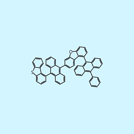 c1ccc(-c2c3ccccc3c(-c3cccc4oc5cc(-c6c7ccccc7c(-c7cccc8sc9ccccc9c78)c7ccccc67)ccc5c34)c3ccccc23)cc1